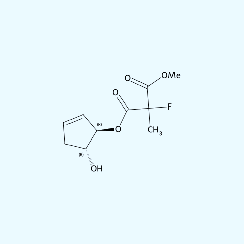 COC(=O)C(C)(F)C(=O)O[C@@H]1C=CC[C@H]1O